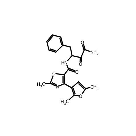 Cc1cc(-c2nc(C)oc2C(=O)NC(Cc2ccccc2)C(=O)C(N)=O)c(C)o1